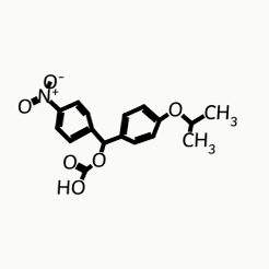 CC(C)Oc1ccc(C(OC(=O)O)c2ccc([N+](=O)[O-])cc2)cc1